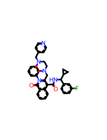 O=C(NC(c1cccc(F)c1)C1CC1)c1c(CN2CCN(Cc3ccncc3)CC2)n(-c2ccccc2)c(=O)c2ccccc12